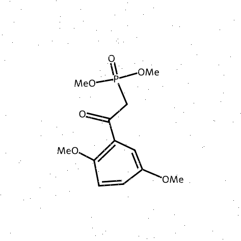 COc1ccc(OC)c(C(=O)CP(=O)(OC)OC)c1